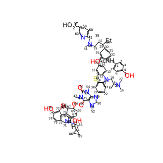 CC(=O)Nc1ccc(O)cc1.CC(CN1c2ccccc2Sc2ccccc21)N(C)C.CC[C@@H](c1cccc(O)c1)[C@@H](C)CN(C)C.Cn1c(=O)c2c(ncn2C)n(C)c1=O.O=C(O)c1cccnc1.O=C1CC[C@@]2(O)[C@H]3Cc4ccc(O)c5c4[C@@]2(CCN3CC2CC2)[C@H]1O5